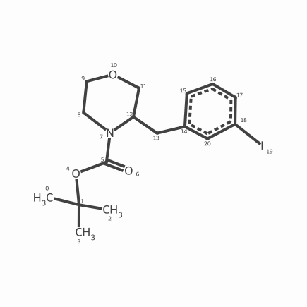 CC(C)(C)OC(=O)N1CCOCC1Cc1cccc(I)c1